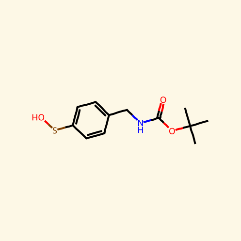 CC(C)(C)OC(=O)NCc1ccc(SO)cc1